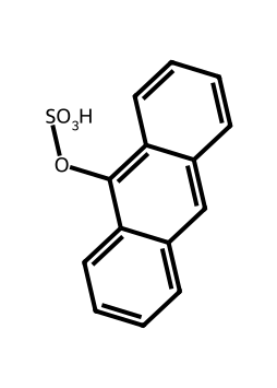 O=S(=O)(O)Oc1c2ccccc2cc2ccccc12